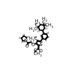 COC(=O)c1sc(-c2cccc(C3CC(C)(C)CC(C)(C)C3)c2)c(C)c1OCC(=O)N1CCCC1